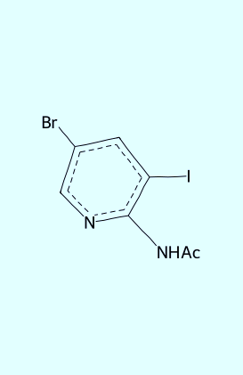 CC(=O)Nc1ncc(Br)cc1I